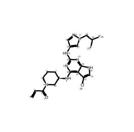 C=CC(=O)N1CCC[C@@H](Nc2nc(Nc3cnn(CC(F)F)c3)nc3[nH]cc(Cl)c23)C1